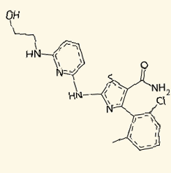 Cc1cccc(Cl)c1-c1nc(Nc2cccc(NCCO)n2)sc1C(N)=O